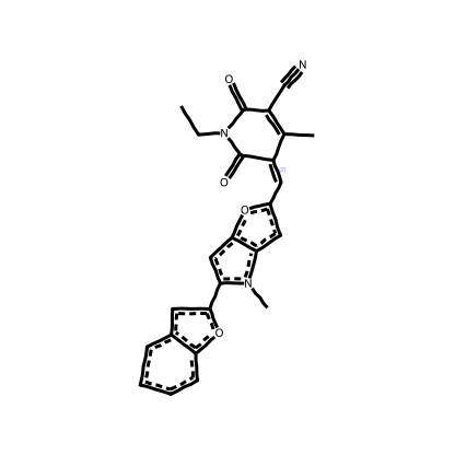 CCN1C(=O)C(C#N)=C(C)/C(=C/c2cc3c(cc(-c4cc5ccccc5o4)n3C)o2)C1=O